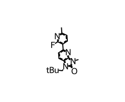 Cc1ccc(-c2ccc3c(n2)n(C)c(=O)n3CC(C)(C)C)c(F)n1